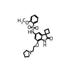 COc1ccccc1S(=O)(=O)Nc1cc(OCCN2CCCC2)c2c(c1)C1(CCC1)C(=O)N2